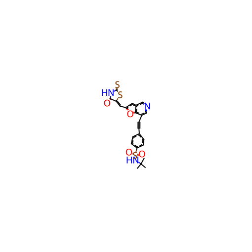 CC(C)(C)NS(=O)(=O)c1ccc(C#Cc2cncc3cc(/C=C4\SC(=S)NC4=O)oc23)cc1